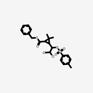 Cc1ccc(S(=O)(=O)OC(C(Cl)Cl)C2C(C(=O)OCc3ccccc3)C2(C)C)cc1